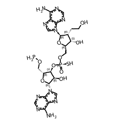 Nc1ncnc2c1ncn2[C@@H]1O[C@H](COP)[C@@H](O[P@](=O)(S)OC[C@H]2O[C@@H](n3cnc4c(N)ncnc43)[C@H](CCO)[C@@H]2O)[C@H]1O